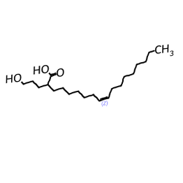 CCCCCCCC/C=C\CCCCCCC(CCCO)C(=O)O